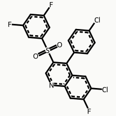 O=S(=O)(c1cc(F)cc(F)c1)c1cnc2cc(F)c(Cl)cc2c1-c1ccc(Cl)cc1